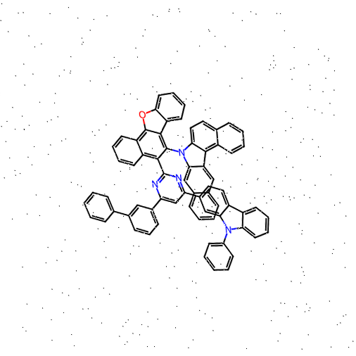 c1ccc(-c2cccc(-c3cc(-c4ccc5c6ccccc6n(-c6ccccc6)c5c4)nc(-c4c(-n5c6cc7ccccc7cc6c6c7ccccc7ccc65)c5c6ccccc6oc5c5ccccc45)n3)c2)cc1